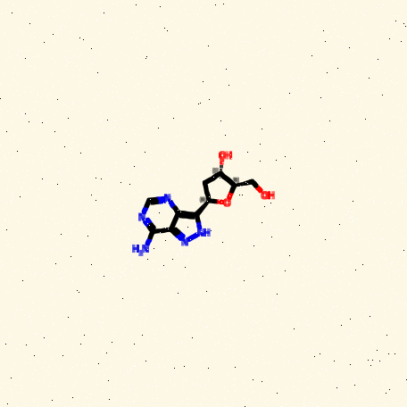 Nc1ncnc2c([C@H]3C[C@H](O)[C@@H](CO)O3)[nH]nc12